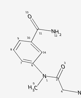 CN(C(=O)CN)c1cccc(C(N)=O)c1